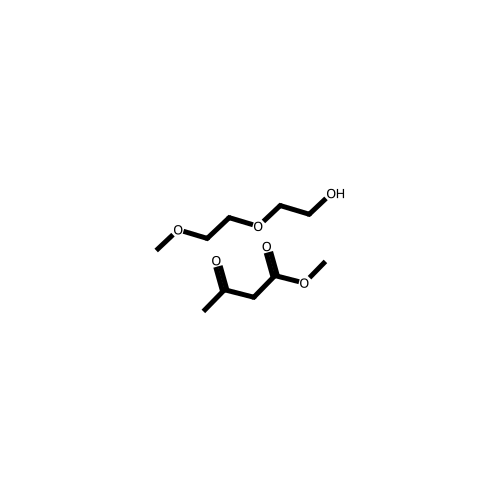 COC(=O)CC(C)=O.COCCOCCO